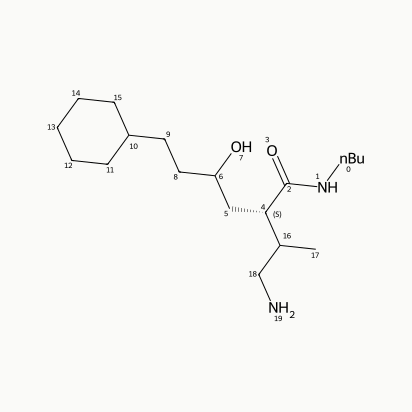 CCCCNC(=O)[C@@H](CC(O)CCC1CCCCC1)C(C)CN